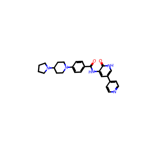 O=C(Nc1cc(-c2ccncc2)c[nH]c1=O)c1ccc(N2CCC(N3CCCC3)CC2)cc1